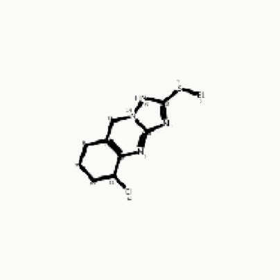 CCSC1=NC2=NC3=C(CCCC3Cl)CN2N1